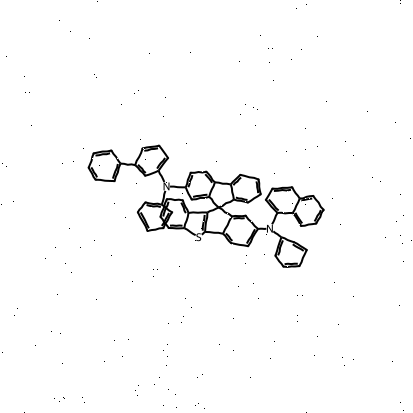 c1ccc(-c2cccc(N(c3ccccc3)c3ccc4c(c3)C3(c5ccccc5-4)c4cc(N(c5ccccc5)c5cccc6ccccc56)ccc4-c4sc5ccccc5c43)c2)cc1